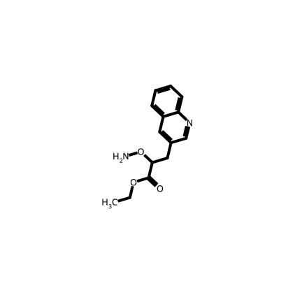 CCOC(=O)C(Cc1cnc2ccccc2c1)ON